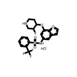 Cl.O=S(=O)(Nc1cc(OC2CCNCC2F)c2occc2c1)c1ccccc1C(F)(F)F